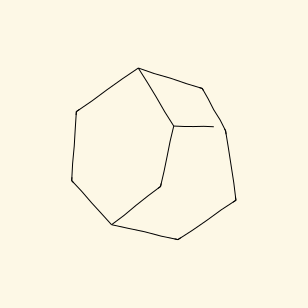 CC1CC2CCCCC1CC2